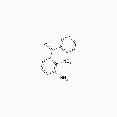 Nc1cccc(C(=O)c2ccccc2)c1[N+](=O)[O-]